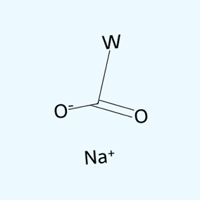 O=[C]([O-])[W].[Na+]